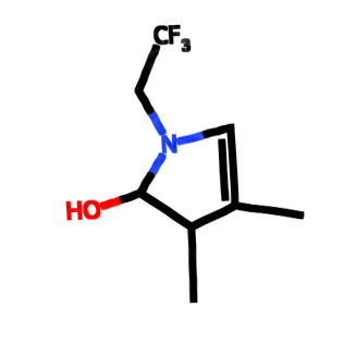 CC1=CN(CC(F)(F)F)C(O)C1C